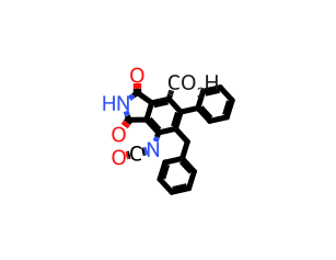 O=C=Nc1c(Cc2ccccc2)c(-c2ccccc2)c(C(=O)O)c2c1C(=O)NC2=O